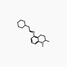 CC1CCc2c(/N=C/CC3CCCCC3)cccc2N1C